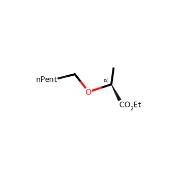 CCCCCCO[C@@H](C)C(=O)OCC